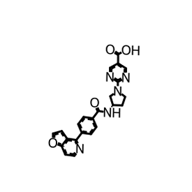 O=C(O)c1cnc(N2CC[C@H](NC(=O)c3ccc(-c4nccc5occc45)cc3)C2)nc1